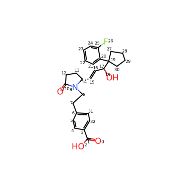 O=C(O)c1ccc(CCN2C(=O)CC[C@@H]2C=C[C@H](O)C2(c3ccccc3F)CCCC2)cc1